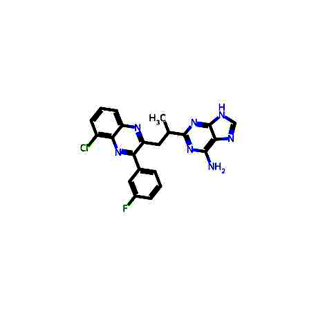 CC(Cc1nc2cccc(Cl)c2nc1-c1cccc(F)c1)c1nc(N)c2nc[nH]c2n1